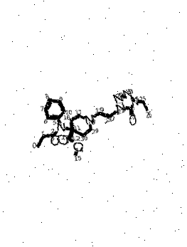 CCC(=O)N(c1ccccc1)C1(C(=O)OC)CCN(CCn2nnn(CC)c2=O)CC1